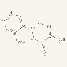 COc1ccccc1C(CN)CC(=O)OC(C)(C)C